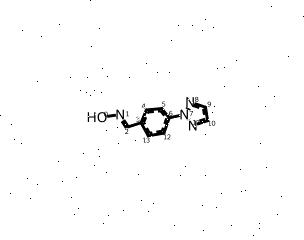 O/N=C/c1ccc(-n2nccn2)cc1